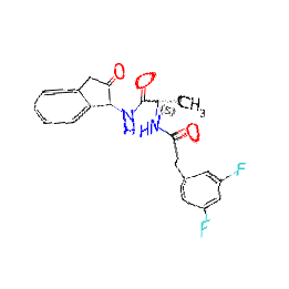 C[C@H](NC(=O)Cc1cc(F)cc(F)c1)C(=O)NC1C(=O)Cc2ccccc21